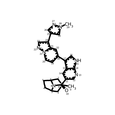 CN1CC2CCC(C1)N2C(=O)c1cnc2[nH]cc(-c3ccn4ncc(-c5cnn(C)c5)c4c3)c2c1